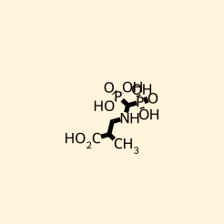 CC(CNC(P(=O)(O)O)P(=O)(O)O)C(=O)O